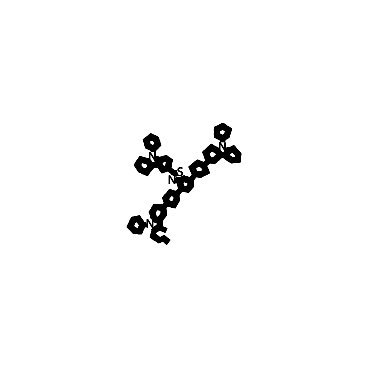 C=C/C=C\c1c(C)c2cc(-c3ccc(-c4ccc(-c5ccc(-c6ccc7c(c6)c6ccccc6n7-c6ccccc6)cc5)c5sc(-c6ccc7c(c6)c6ccccc6n7-c6ccccc6)nc45)cc3)ccc2n1-c1ccccc1